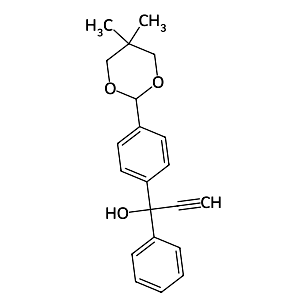 C#CC(O)(c1ccccc1)c1ccc(C2OCC(C)(C)CO2)cc1